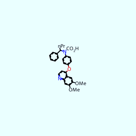 CCCC(c1ccccc1)N(C(=O)O)c1ccc(Oc2ccnc3cc(OC)c(OC)cc23)cc1